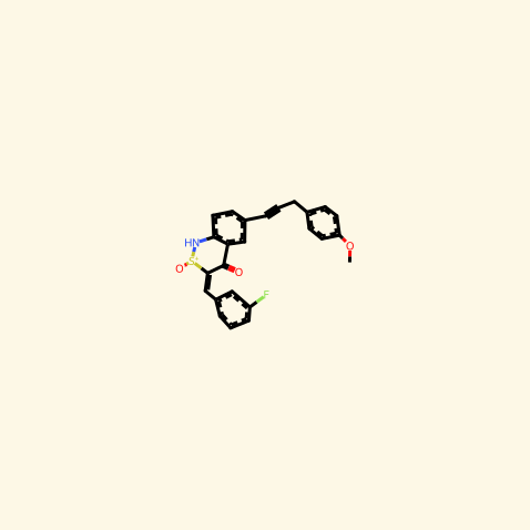 COc1ccc(CC#Cc2ccc3c(c2)C(=O)/C(=C\c2cccc(F)c2)[S+]([O-])N3)cc1